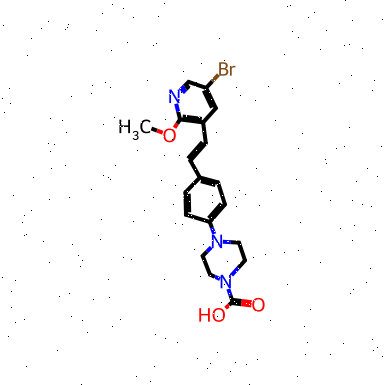 COc1ncc(Br)cc1/C=C/c1ccc(N2CCN(C(=O)O)CC2)cc1